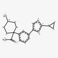 NC(=O)C1(c2cccc(-c3cnc(C4CC4)s3)c2)CCC(O)CC1